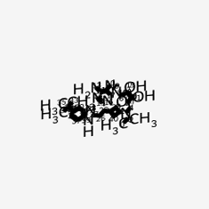 CC(C)N(C[C@H]1O[C@@H](n2cnc3c(N)ncnc32)[C@H](O)[C@@H]1O)C1CC(CCc2nc3cc(C(C)(C)C)ccc3[nH]2)C1